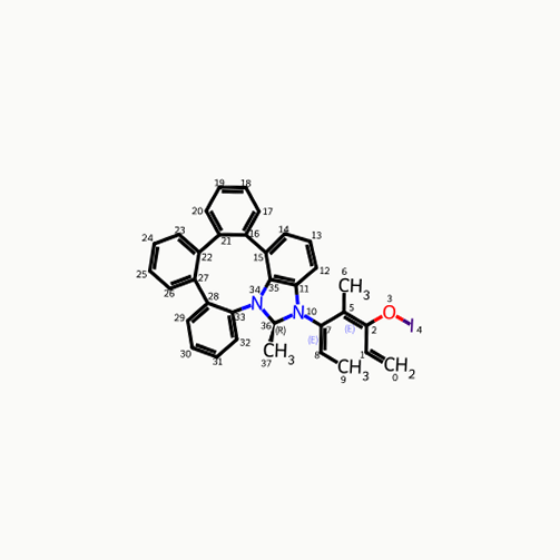 C=C/C(OI)=C(C)\C(=C/C)N1c2cccc3c4ccccc4c4ccccc4c4ccccc4n(c23)[C@@H]1C